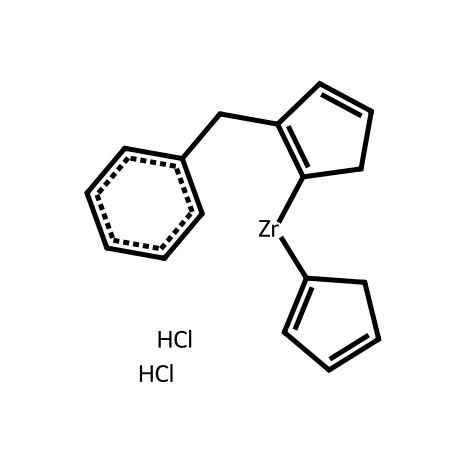 C1=CC[C]([Zr][C]2=C(Cc3ccccc3)C=CC2)=C1.Cl.Cl